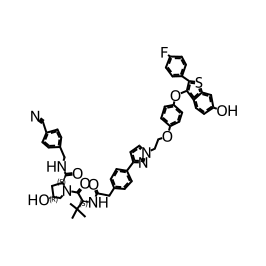 CC(C)(C)[C@H](NC(=O)Cc1ccc(-c2ccn(CCOc3ccc(Oc4c(-c5ccc(F)cc5)sc5cc(O)ccc45)cc3)n2)cc1)C(=O)N1C[C@H](O)C[C@H]1C(=O)NCc1ccc(C#N)cc1